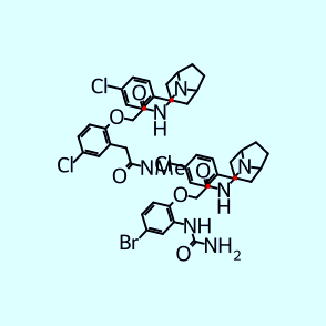 CNC(=O)Cc1cc(Cl)ccc1OCC(=O)NC1CC2CCC(C1)N2Cc1ccc(Cl)cc1.NC(=O)Nc1cc(Br)ccc1OCC(=O)NC1CC2CCC(C1)N2Cc1ccc(Cl)cc1